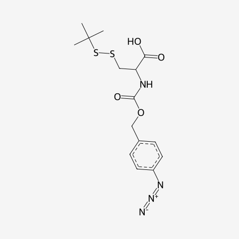 CC(C)(C)SSCC(NC(=O)OCc1ccc(N=[N+]=[N-])cc1)C(=O)O